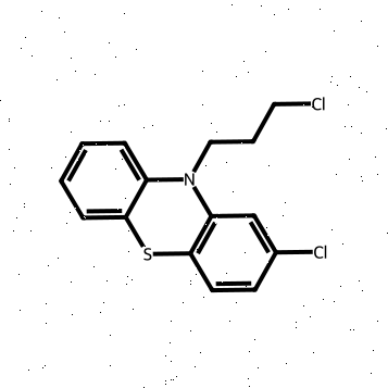 ClCCCN1c2ccccc2Sc2ccc(Cl)cc21